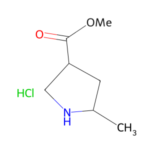 COC(=O)C1CNC(C)C1.Cl